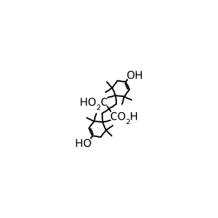 CC1(C)C=C(O)CC(C)(C)C1(C)CC(CC1(C)C(C)(C)C=C(O)CC1(C)C)(C(=O)O)C(=O)O